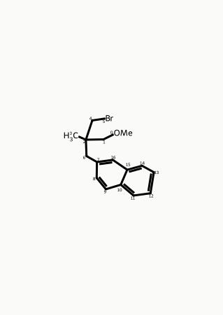 COCC(C)(CBr)Cc1ccc2ccccc2c1